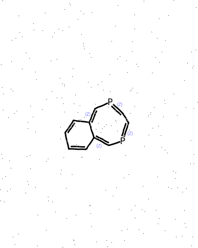 C1=P\C=c2\cccc\c2=C\P=C/1